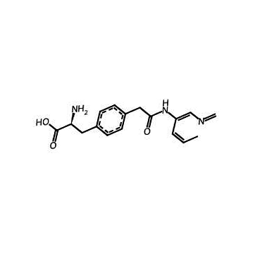 C=N/C=C(\C=C/C)NC(=O)Cc1ccc(C[C@H](N)C(=O)O)cc1